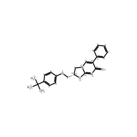 CC(C)(C)c1ccc(OC[C@@H]2Cn3cc(-c4ccccc4)c(=O)nc3O2)cc1